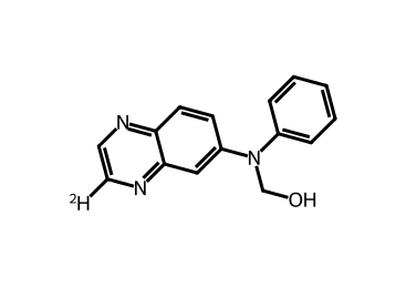 [2H]c1cnc2ccc(N(CO)c3ccccc3)cc2n1